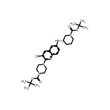 CC(C)(C)OC(=O)N1CCN(c2nc3ccc(N[C@H]4CCCN(C(=O)OC(C)(C)C)C4)cc3cc2Cl)CC1